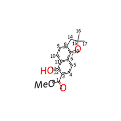 COC(=O)c1ccc2c3c(ccc2c1O)CC(C)(C)O3